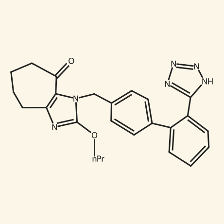 CCCOc1nc2c(n1Cc1ccc(-c3ccccc3-c3nnn[nH]3)cc1)C(=O)CCCC2